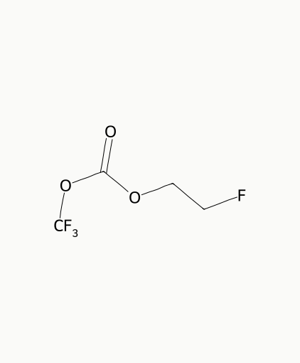 O=C(OCCF)OC(F)(F)F